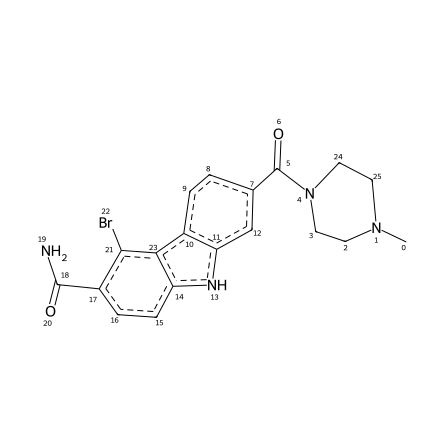 CN1CCN(C(=O)c2ccc3c(c2)[nH]c2ccc(C(N)=O)c(Br)c23)CC1